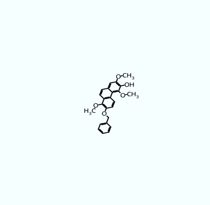 COc1cc2ccc3c(OC)c(OCc4ccccc4)ccc3c2c(OC)c1O